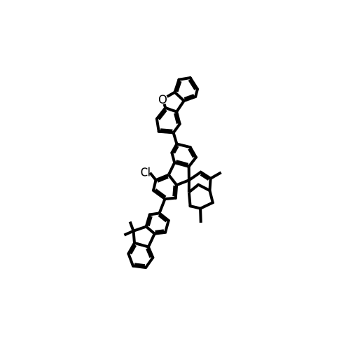 CC1=CC2(c3ccc(-c4ccc5oc6ccccc6c5c4)cc3-c3c(Cl)cc(-c4ccc5c(c4)C(C)(C)c4ccccc4-5)cc32)C2CC(C)CC1C2